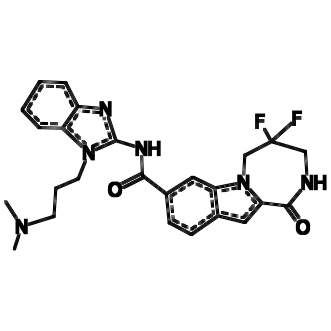 CN(C)CCCn1c(NC(=O)c2ccc3cc4n(c3c2)CC(F)(F)CNC4=O)nc2ccccc21